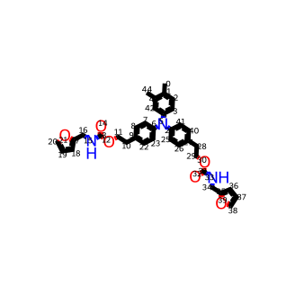 Cc1ccc(N(c2ccc(CCOC(=O)NCc3ccco3)cc2)c2ccc(CCOC(=O)NCc3ccco3)cc2)cc1C